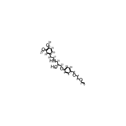 C=COCCOCc1ccc(OCC(O)CNCCc2ccc(OC)c(OC)c2)cc1